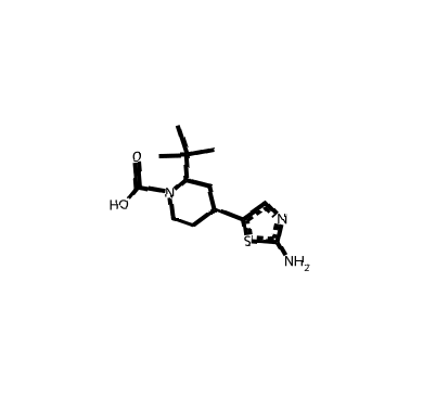 CC(C)(C)C1CC(c2cnc(N)s2)CCN1C(=O)O